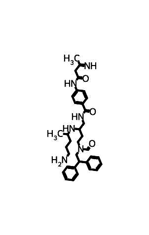 CC(=N)CC(=O)Nc1ccc(C(=O)NCC(CCN(C=O)CC(c2ccccc2)c2ccccc2)NC(C)CCCN)cc1